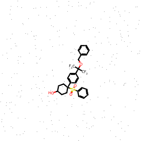 O=S(=O)(c1ccccc1)C1(c2ccc(C(OCc3ccccc3)(C(F)(F)F)C(F)(F)F)cc2)CCC(O)CC1